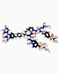 CCOP(C)(=O)C(=O)c1ccc2[nH]c(C(=O)N[C@H]3CN(C(=O)C[C@H]4CC[C@@H](Cc5ccc6c(c5)n(C)c(=O)n6C5CCC(=O)NC5=O)CC4)CC[C@H]4CC[C@@H](C(=O)N[C@@H](CCC(N)=O)C(=O)NCc5ccc(S(=O)(=O)C(C)C)cc5)N4C3=O)cc2c1